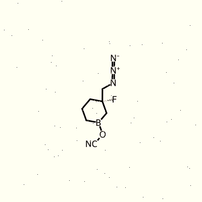 N#COB1CCC[C@@](F)(CN=[N+]=[N-])C1